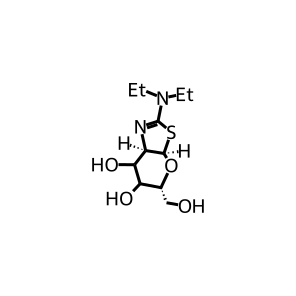 CCN(CC)C1=N[C@@H]2C(O)C(O)[C@@H](CO)O[C@@H]2S1